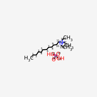 CCCCCCCCCCCC[N+](CC)(CC)CC.O=P([O-])(O)O